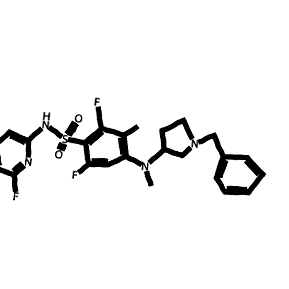 Cc1c(N(C)C2CCN(Cc3ccccc3)C2)cc(F)c(S(=O)(=O)Nc2cccc(F)n2)c1F